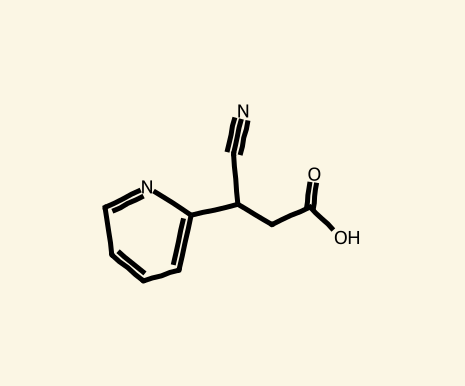 N#CC(CC(=O)O)c1ccccn1